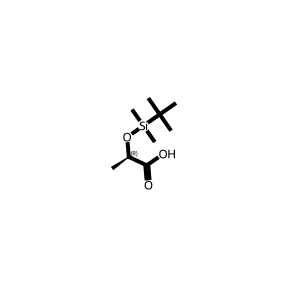 C[C@@H](O[Si](C)(C)C(C)(C)C)C(=O)O